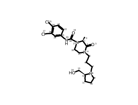 C[C@H]1C(=O)N(CCCN2CCC[C@H]2CO)CCN1C(=O)Nc1ccc(Cl)c(Cl)c1